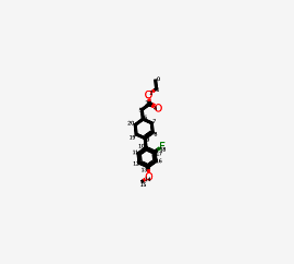 CCOC(=O)CC1CC=C(c2ccc(OC)cc2F)CC1